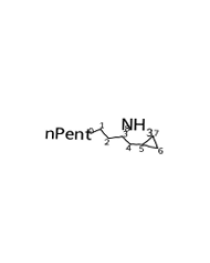 CCCCCCCCCC1CC1.N